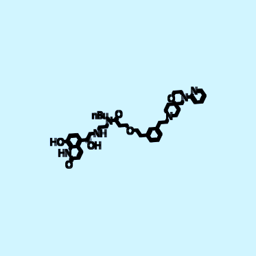 CCCCN(CCNC[C@H](O)c1ccc(O)c2[nH]c(=O)ccc12)C(=O)CCOCCc1cccc(CCN2CCC3(CC2)CN(c2ccccn2)CCO3)c1